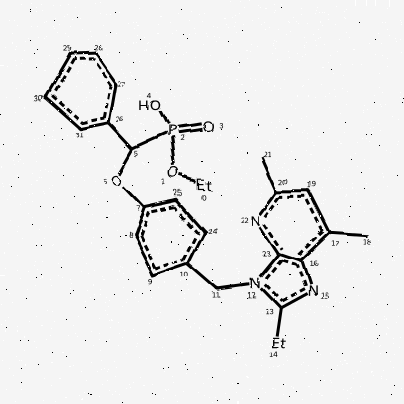 CCOP(=O)(O)C(Oc1ccc(Cn2c(CC)nc3c(C)cc(C)nc32)cc1)c1ccccc1